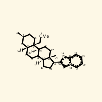 COC[C@]12CC[C@H](C)C[C@H]1CCC1[C@@H]3CC[C@H](c4cn5ccccc5n4)[C@@]3(C)CC[C@@H]12